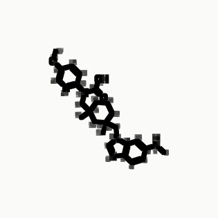 CNc1ccc2ncn(C[C@@]3(C)CCCC(C)(CN(C(=O)O)c4ccc(OC)cn4)C3)c2c1